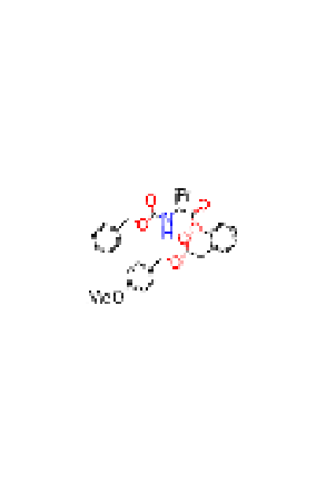 COc1ccc(COC(=O)Cc2ccccc2OC(=O)[C@@H](NC(=O)OCc2ccccc2)C(C)C)cc1